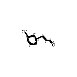 O=[C]C=Cc1cccc(Cl)c1